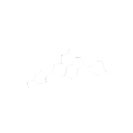 COCC(=O)N[C@@H](C)[C@H](Oc1ccc2c(cnn2-c2ccc(F)cc2)c1)c1ccc(C(F)(F)F)cc1